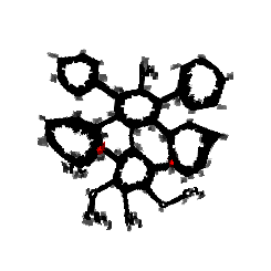 COc1c(N)c(OC)c(OC)c(-c2c(-c3ccccc3)c(-c3ccccc3)c(N)c(-c3ccccc3)c2-c2ccccc2)c1OC